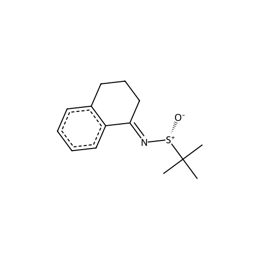 CC(C)(C)[S@@+]([O-])/N=C1\CCCc2ccccc21